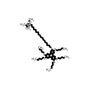 CCCCCSc1cc2c3cc(SCCCCC)c(SCCCCC)cc3c3cc(SCCCCCCCCCCCCCCCCCC[Si](OCC)(OCC)OCC)c(SCCCCC)cc3c2cc1SCCCCC